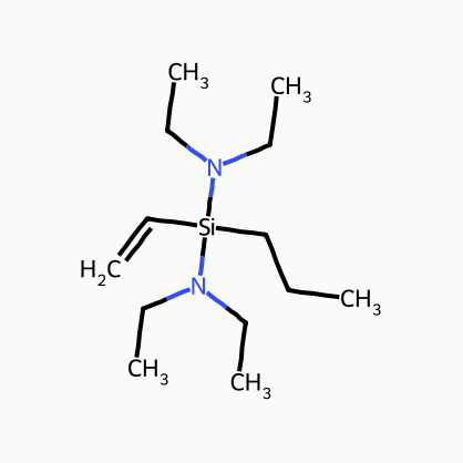 C=C[Si](CCC)(N(CC)CC)N(CC)CC